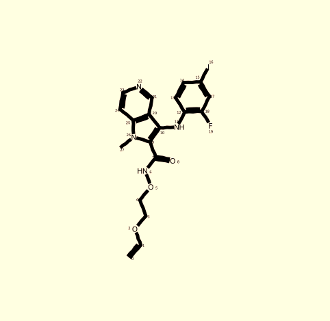 C=COCCONC(=O)c1c(Nc2ccc(I)cc2F)c2cnccc2n1C